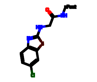 CCCCCNC(=O)CNc1nc2ccc(Cl)cc2s1